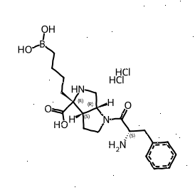 Cl.Cl.N[C@@H](Cc1ccccc1)C(=O)N1CC[C@H]2[C@@H]1CN[C@@]2(CCCCB(O)O)C(=O)O